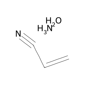 C=CC#N.N.O